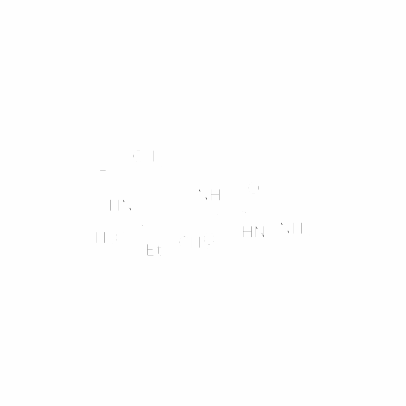 CCC1(C)CC(NC(=O)C(=O)NN)C(C)C(C)(CC)N1